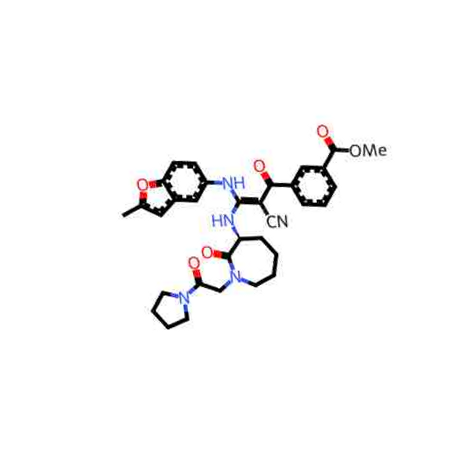 COC(=O)c1cccc(C(=O)C(C#N)=C(Nc2ccc3oc(C)cc3c2)N[C@H]2CCCCN(CC(=O)N3CCCC3)C2=O)c1